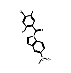 O=C(c1cc(F)c(Cl)cc1Cl)n1ccc2cc([NH+]([O-])O)ccc21